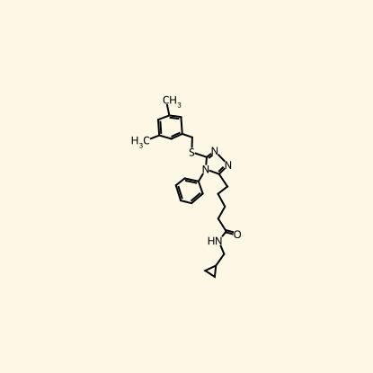 Cc1cc(C)cc(CSc2nnc(CCCCC(=O)NCC3CC3)n2-c2ccccc2)c1